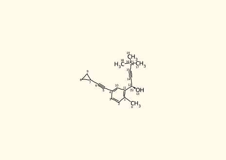 Cc1ccc(C#CC2CC2)cc1[C@H](O)C#C[Si](C)(C)C